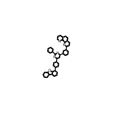 c1ccc(-c2nc(-c3ccc(-c4cccc5c4oc4ccccc45)cc3)cc(-c3cccc(-c4ccc5ccc6cccnc6c5n4)c3)n2)cc1